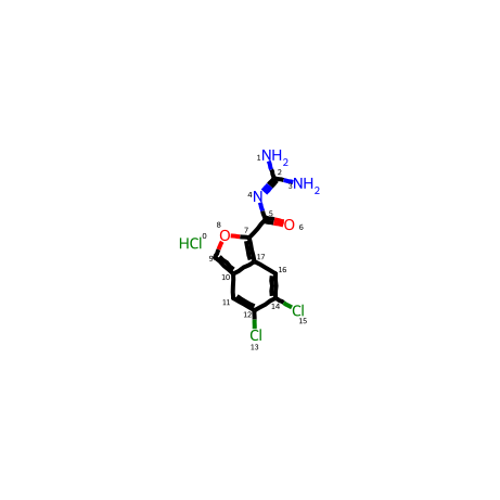 Cl.NC(N)=NC(=O)c1occ2cc(Cl)c(Cl)cc12